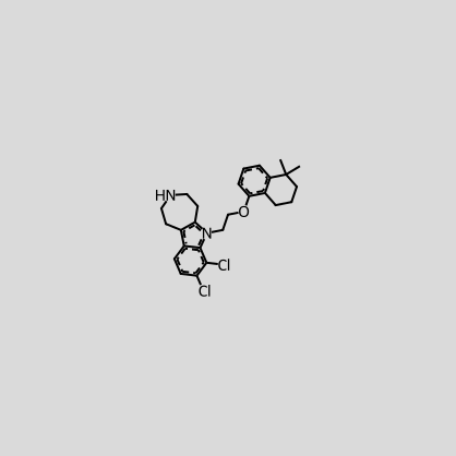 CC1(C)CCCc2c(OCCn3c4c(c5ccc(Cl)c(Cl)c53)CCNCC4)cccc21